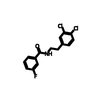 O=C(NCCc1ccc(Cl)c(Cl)c1)c1cccc(F)c1